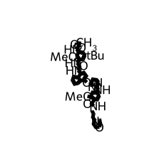 COc1cc(Nc2nccc(Oc3ccc(NC(=O)Nc4cc(C(C)(C)C)cc(NS(C)(=O)=O)c4OC)c4ccccc34)n2)ccc1C(=O)NCCCN1CCOCC1